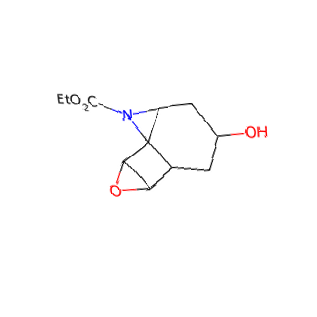 CCOC(=O)N1C2CC(O)CC3C4OC4C321